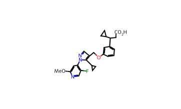 COc1cc(-n2ncc(COc3cccc(C(CC(=O)O)C4CC4)c3)c2C2CC2)c(F)cn1